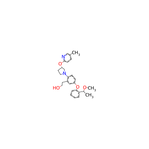 COC(C)c1ccccc1Oc1ccc(N2CC[C@H](Oc3ccc(C)cn3)C2)c(CCO)c1